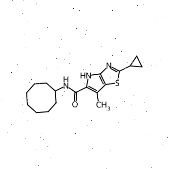 Cc1c(C(=O)NC2CCCCCCC2)[nH]c2nc(C3CC3)sc12